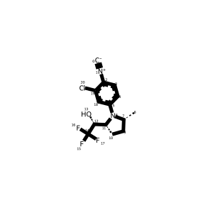 [C-]#[N+]c1ccc(N2[C@H](C)CC[C@@H]2[C@@H](O)C(F)(F)F)cc1Cl